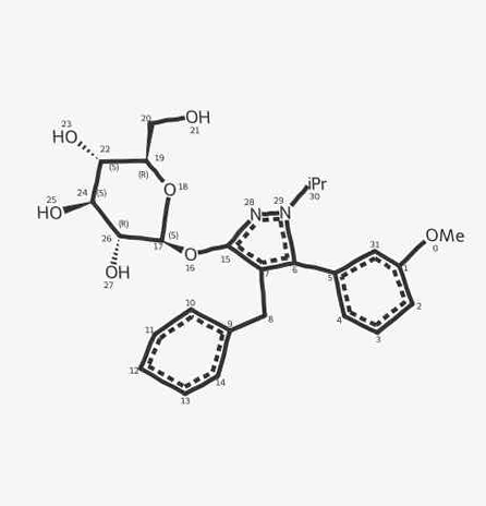 COc1cccc(-c2c(Cc3ccccc3)c(O[C@@H]3O[C@H](CO)[C@@H](O)[C@H](O)[C@H]3O)nn2C(C)C)c1